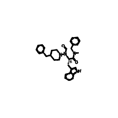 CN(Cc1ccccc1)C(=O)[C@H](Cc1c[nH]c2ccccc12)N(C=O)N1CCC(Cc2ccccc2)CC1